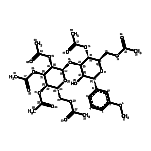 COc1cccc([C@H]2O[C@H](COC(C)=O)[C@@H](OC(C)=O)[C@H](O[C@H]3O[C@H](COC(C)=O)[C@@H](OC(C)=O)[C@@H](OC(C)=O)[C@H]3OC(C)=O)[C@@H]2O)c1